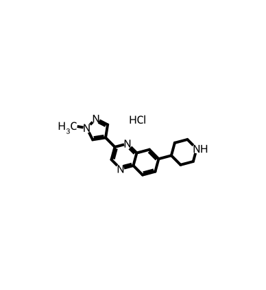 Cl.Cn1cc(-c2cnc3ccc(C4CCNCC4)cc3n2)cn1